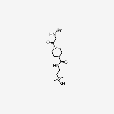 CC(C)NCC(=O)N1CCC(C(=O)NCCS(C)(C)S)CC1